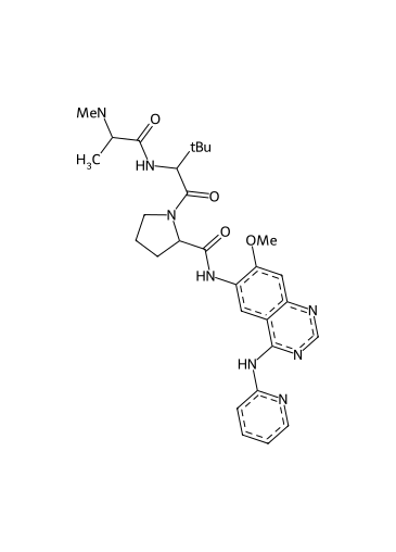 CNC(C)C(=O)NC(C(=O)N1CCCC1C(=O)Nc1cc2c(Nc3ccccn3)ncnc2cc1OC)C(C)(C)C